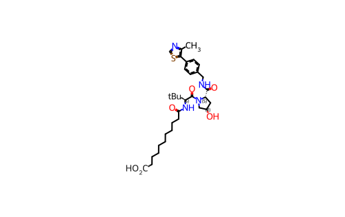 Cc1ncsc1-c1ccc(CNC(=O)[C@@H]2C[C@@H](O)CN2C(=O)[C@@H](NC(=O)CCCCCCCCCC(=O)O)C(C)(C)C)cc1